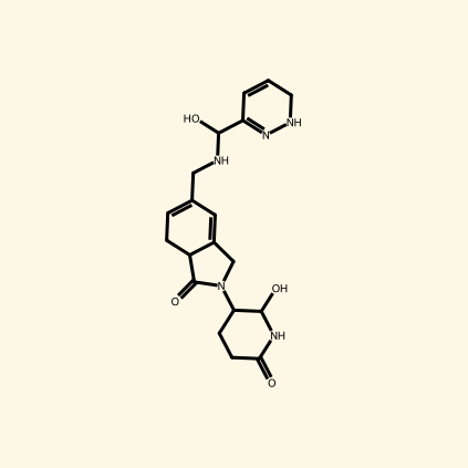 O=C1CCC(N2CC3=CC(CNC(O)C4=NNCC=C4)=CCC3C2=O)C(O)N1